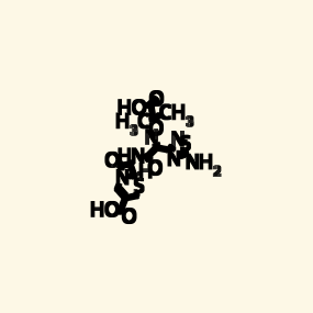 CC(C)(ON=C(C(=O)NC1C(=O)N2C=C(C(=O)O)CS[C@H]12)c1nsc(N)n1)C(=O)O